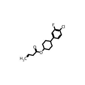 C=CCC(=O)OC1CCC(c2ccc(Cl)c(F)c2)CC1